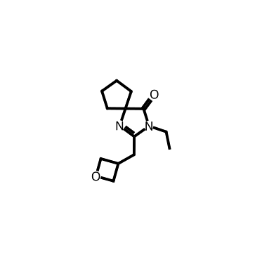 CCN1C(=O)C2(CCCC2)N=C1CC1COC1